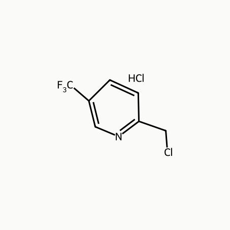 Cl.FC(F)(F)c1ccc(CCl)nc1